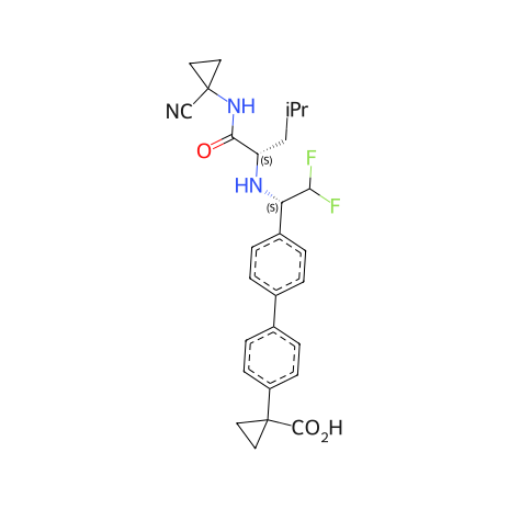 CC(C)C[C@H](N[C@@H](c1ccc(-c2ccc(C3(C(=O)O)CC3)cc2)cc1)C(F)F)C(=O)NC1(C#N)CC1